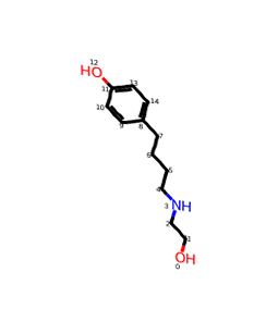 O[CH]CNCCCCc1ccc(O)cc1